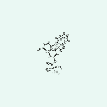 CC(C)(C)C(=O)Oc1cccc(C2(Sc3ccc(F)cc3)OOC23C2CC4CC(C2)CC3C4)c1